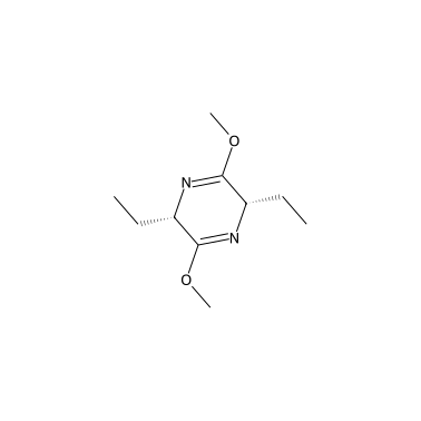 CC[C@@H]1N=C(OC)[C@H](CC)N=C1OC